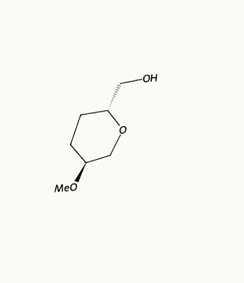 CO[C@H]1CC[C@H](CO)OC1